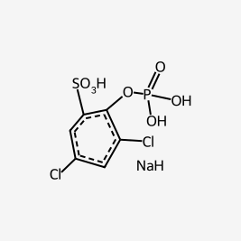 O=P(O)(O)Oc1c(Cl)cc(Cl)cc1S(=O)(=O)O.[NaH]